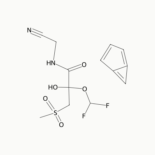 CS(=O)(=O)CC(O)(OC(F)F)C(=O)NCC#N.c1cc2cc-2c1